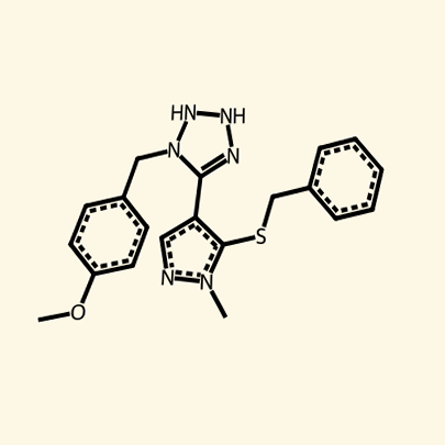 COc1ccc(CN2NNN=C2c2cnn(C)c2SCc2ccccc2)cc1